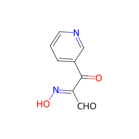 O=CC(=NO)C(=O)c1cccnc1